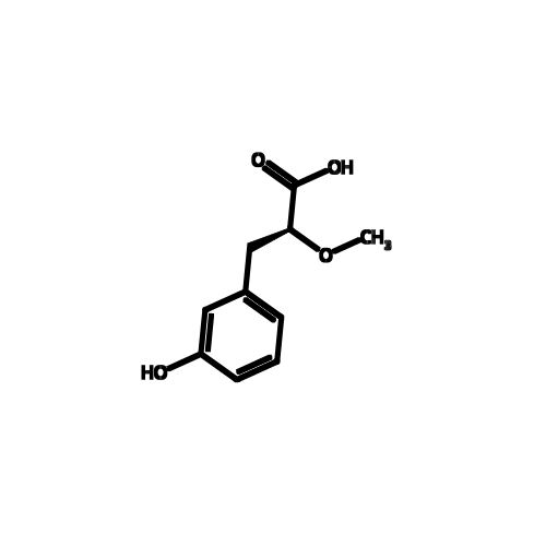 CO[C@@H](Cc1cccc(O)c1)C(=O)O